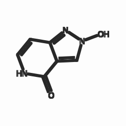 O=c1[nH]ccc2nn(O)cc12